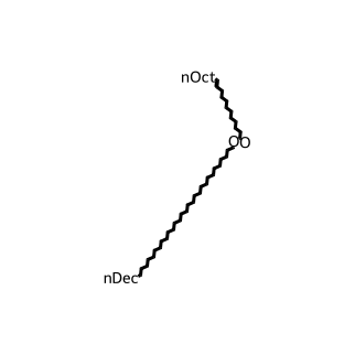 CCCCCCCCC=CCCCCCCCCCC(=O)OCCCCCCCCCCCCCCCCCCCCCCCCCCCCCCCCCCCCCCC